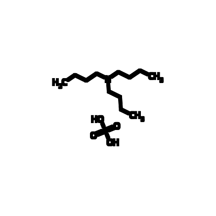 CCCCN(CCCC)CCCC.O=S(=O)(O)O